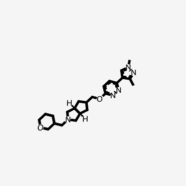 Cc1nn(C)cc1-c1ccc(OCC2C[C@@H]3CN(CC4CCCOC4)C[C@@H]3C2)nn1